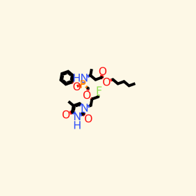 CCCCCOC(=O)CC(C)NP(COC(CF)Cn1cc(C)c(=O)[nH]c1=O)Oc1ccccc1